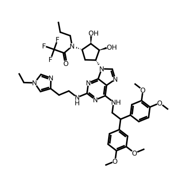 CCCN(C(=O)C(F)(F)F)[C@H]1C[C@@H](n2cnc3c(NCC(c4ccc(OC)c(OC)c4)c4ccc(OC)c(OC)c4)nc(NCCc4cn(CC)cn4)nc32)[C@H](O)[C@@H]1O